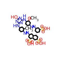 COc1cc(/N=N/c2cccc(S(=O)(=O)O)c2)ccc1Nc1nc(O)nc(Nc2ccc(/N=N/c3cc(S(=O)(=O)O)c4cc(S(=O)(=O)O)ccc4c3)c(C)c2)n1